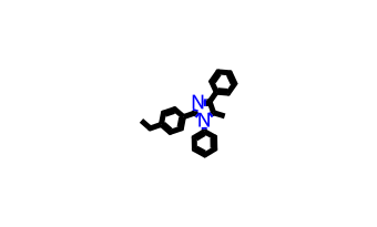 CCc1ccc(C2N=C(c3ccccc3)C(C)N2c2ccccc2)cc1